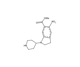 COC(=O)c1cc2c(cc1[N+](=O)[O-])CCN2C1CCNCC1